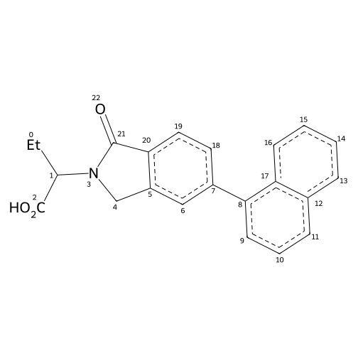 CCC(C(=O)O)N1Cc2cc(-c3cccc4ccccc34)ccc2C1=O